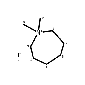 C[N+]1(C)CCCCCC1.[I-]